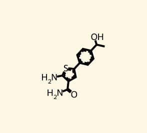 CC(O)c1ccc(-c2cc(C(N)=O)c(N)s2)cc1